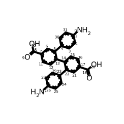 Nc1ccc(-c2cc(C(=O)O)ccc2-c2ccc(C(=O)O)cc2-c2ccc(N)cc2)cc1